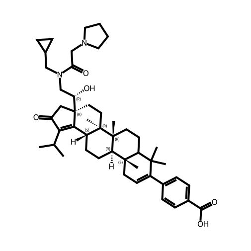 CC(C)C1=C2[C@H]3CC[C@@H]4[C@@]5(C)CC=C(c6ccc(C(=O)O)cc6)C(C)(C)C5CC[C@@]4(C)[C@]3(C)CC[C@@]2([C@@H](O)CN(CC2CC2)C(=O)CN2CCCC2)CC1=O